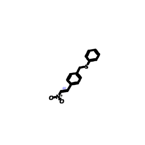 O=[N+]([O-])/C=C/c1ccc(CSc2ccccc2)cc1